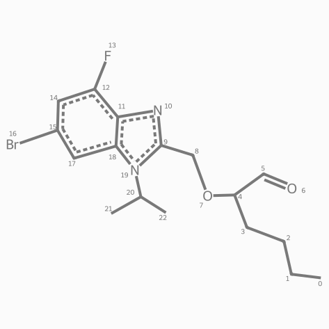 CCCCC(C=O)OCc1nc2c(F)cc(Br)cc2n1C(C)C